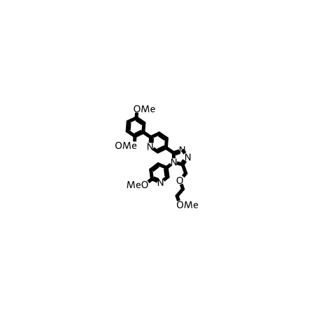 COCCOCc1nnc(-c2ccc(-c3cc(OC)ccc3OC)nc2)n1-c1ccc(OC)nc1